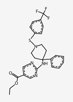 CCOC(=O)c1cnc(NC2(c3ccccc3)CCN(Sc3ccc(C(F)(F)F)cc3)CC2)nc1